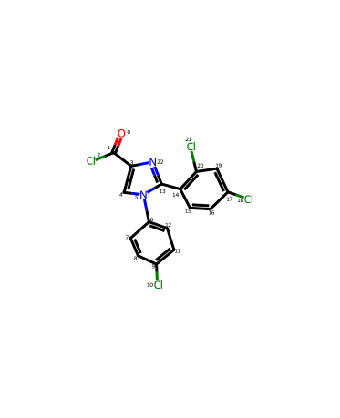 O=C(Cl)c1cn(-c2ccc(Cl)cc2)c(-c2ccc(Cl)cc2Cl)n1